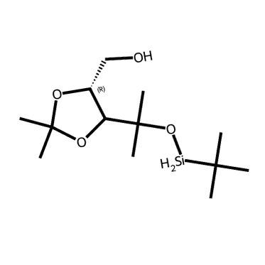 CC1(C)OC(C(C)(C)O[SiH2]C(C)(C)C)[C@@H](CO)O1